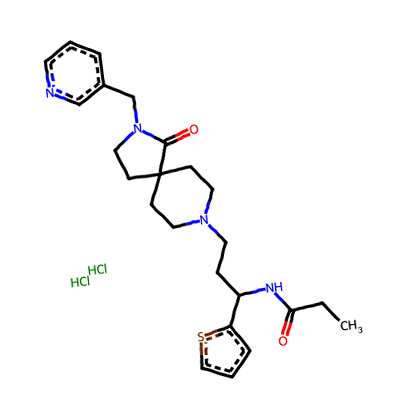 CCC(=O)NC(CCN1CCC2(CC1)CCN(Cc1cccnc1)C2=O)c1cccs1.Cl.Cl